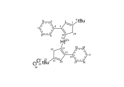 CC(C)(C)C1=CC(c2ccccc2)=[C]([Hf+2][C]2=C(c3ccccc3)C=C(C(C)(C)C)C2)C1.[Cl-].[Cl-]